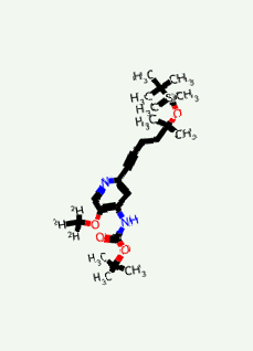 [2H]C([2H])([2H])Oc1cnc(C#CCCC(C)(C)O[Si](C)(C)C(C)(C)C)cc1NC(=O)OC(C)(C)C